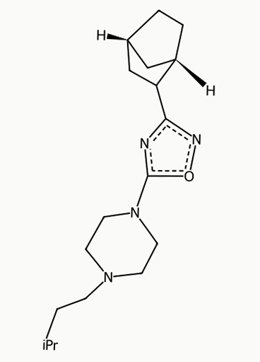 CC(C)CCN1CCN(c2nc(C3C[C@@H]4CC[C@H]3C4)no2)CC1